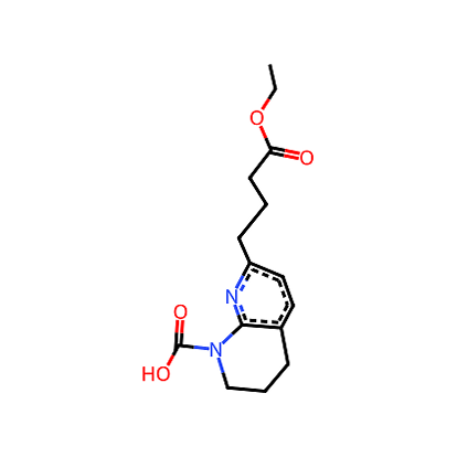 CCOC(=O)CCCc1ccc2c(n1)N(C(=O)O)CCC2